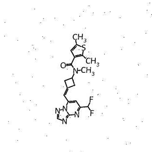 Cc1cc(C(=O)N(C)C2CC(=Cc3cc(C(F)F)nc4ncnn34)C2)c(C)s1